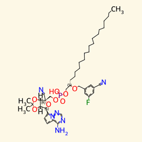 CCCCCCCCCCCCCCCCCC[C@@H](COP(=O)(O)OC[C@@]1(C#N)O[C@@H](c2ccc3c(N)ncnn23)[C@@H]2OC(C)(C)O[C@@H]21)OCc1cc(F)cc(C#N)c1